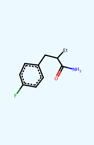 CCC(Cc1ccc(F)cc1)C(N)=O